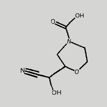 N#CC(O)C1CN(C(=O)O)CCO1